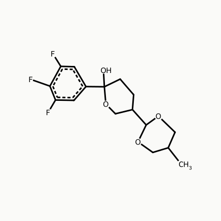 CC1COC(C2CCC(O)(c3cc(F)c(F)c(F)c3)OC2)OC1